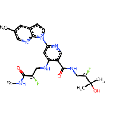 CC(C)NC(=O)[C@H](F)CNc1cc(-n2ccc3cc(C#N)cnc32)ncc1C(=O)NC[C@@H](F)C(C)(C)O